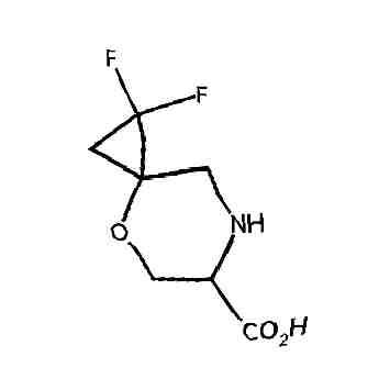 O=C(O)C1COC2(CN1)CC2(F)F